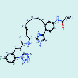 COC(=O)Nc1ccc2c(c1)CCCC/C=C/C[C@H](NC(=O)/C=C/c1cc(Cl)ccc1-n1cnnn1)c1nc-2c[nH]1